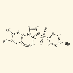 COc1cc(C(C)C)c(Cl)cc1-n1nnc(S(=O)(=O)c2ccc(C(C)(C)C)cc2)c1C